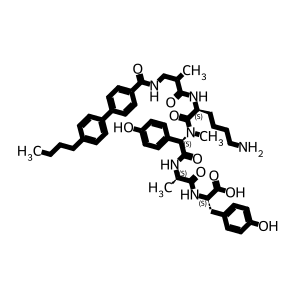 CCCCc1ccc(-c2ccc(C(=O)NCC(C)C(=O)N[C@@H](CCCCN)C(=O)N(C)[C@H](C(=O)N[C@@H](C)C(=O)N[C@@H](Cc3ccc(O)cc3)C(=O)O)c3ccc(O)cc3)cc2)cc1